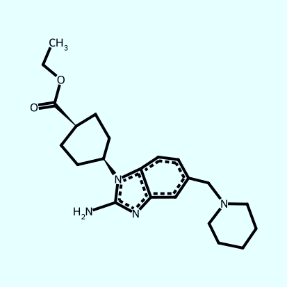 CCOC(=O)[C@H]1CC[C@@H](n2c(N)nc3cc(CN4CCCCC4)ccc32)CC1